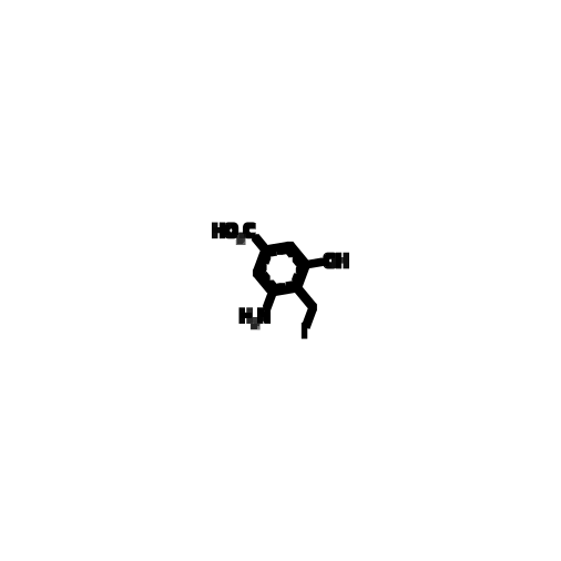 Nc1cc(C(=O)O)cc(O)c1CI